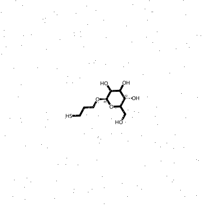 OCC1O[C@@H](OCCCS)C(O)C(O)[C@@H]1O